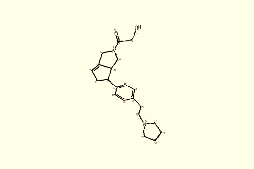 O=C(CO)N1CC2=CCC(c3ccc(CCN4CCCC4)cc3)C2C1